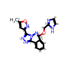 Cc1cc(-c2nnc3c4ccccc4c(OCc4ncc[nH]4)nn23)no1